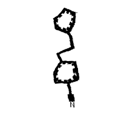 N#Cc1ccc(CCc2c[c]ccc2)cc1